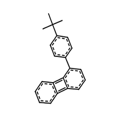 CC(C)(C)c1ccc(-c2cccc3c2=c2ccccc2=3)cc1